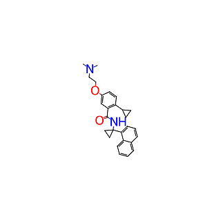 CN(C)CCOc1ccc(C2CC2)c(C(=O)NC2(c3cccc4ccccc34)CC2)c1